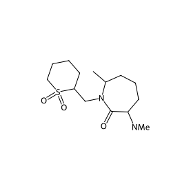 CNC1CCCC(C)N(CC2CCCCS2(=O)=O)C1=O